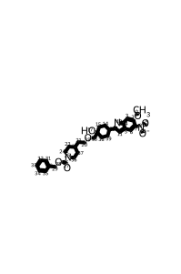 COc1cc2c(cc1[N+](=O)[O-])=CC(C1CCC(O)(COCCC3CCN(C(=O)OCc4ccccc4)CC3)CC1)N=2